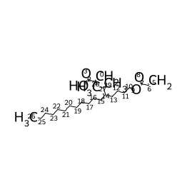 C=CC(=O)O.C=CC(=O)OCCCCC(CCCCCCCCCCCC)C(C)C